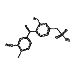 COc1cc(C(=O)c2ccc(CS(N)(=O)=O)cc2Br)ccc1F